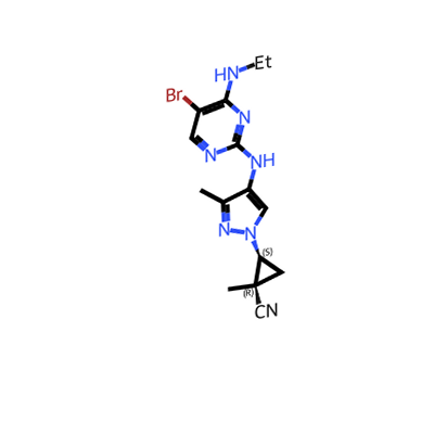 CCNc1nc(Nc2cn([C@H]3C[C@@]3(C)C#N)nc2C)ncc1Br